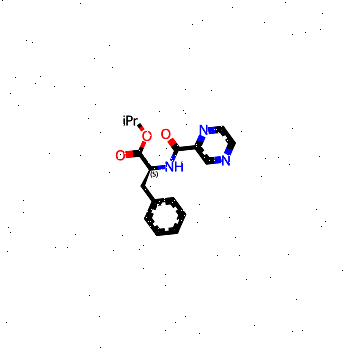 CC(C)OC(=O)[C@H](Cc1ccccc1)NC(=O)c1cnccn1